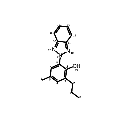 CCCc1cc(C)cc(-n2nc3ccccc3n2)c1O